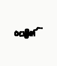 [CH2]CCCCCNS(=O)(=O)c1ccc(OC)cc1